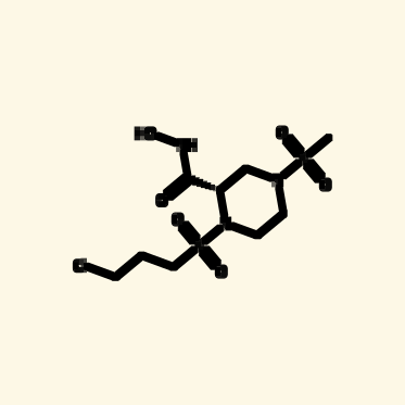 CS(=O)(=O)N1CCN(S(=O)(=O)CCCCl)[C@H](C(=O)NO)C1